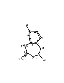 Cc1ccc2c(c1)NC(=O)CN(C)C2